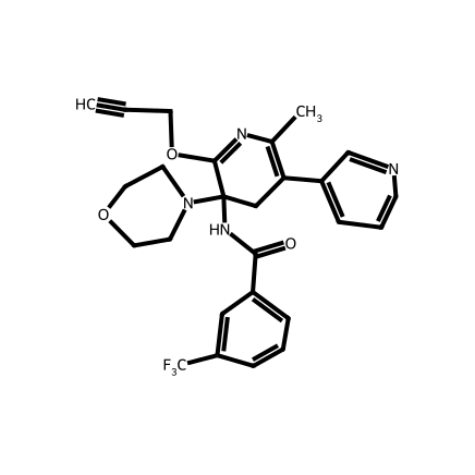 C#CCOC1=NC(C)=C(c2cccnc2)CC1(NC(=O)c1cccc(C(F)(F)F)c1)N1CCOCC1